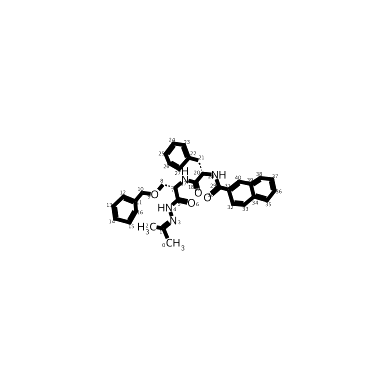 CC(C)=NNC(=O)[C@H](COCc1ccccc1)NC(=O)[C@H](Cc1ccccc1)NC(=O)c1ccc2ccccc2c1